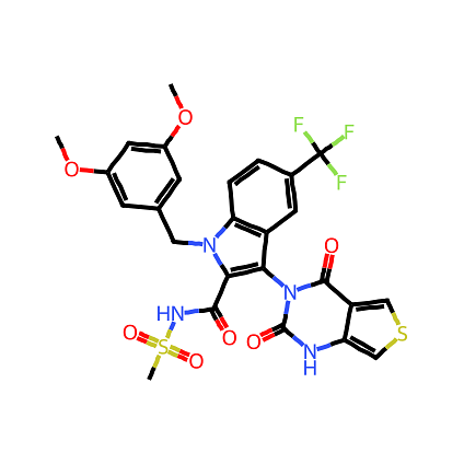 COc1cc(Cn2c(C(=O)NS(C)(=O)=O)c(-n3c(=O)[nH]c4cscc4c3=O)c3cc(C(F)(F)F)ccc32)cc(OC)c1